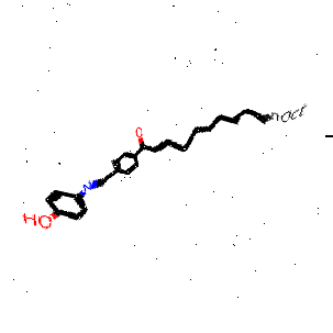 CCCCCCCCC=CCCCCCCCC(=O)c1ccc(C=Nc2ccc(O)cc2)cc1